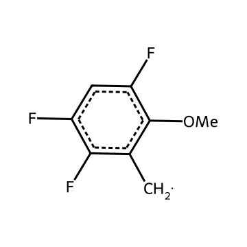 [CH2]c1c(F)c(F)cc(F)c1OC